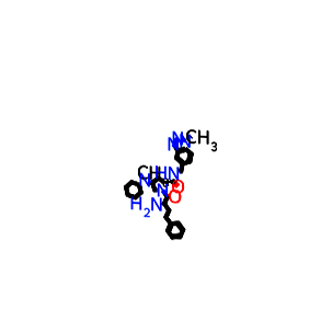 CN(C1CCCCC1)C1C[C@@H](C(=O)NCc2ccc3c(c2)nnn3C)N(C(=O)[C@H](N)CCc2ccccc2)C1